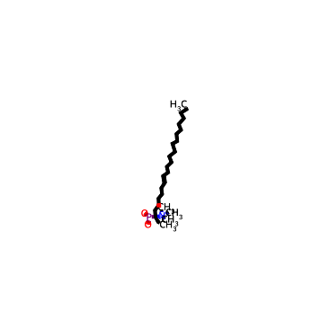 CCCCCCCCCCCCCCC=CCCCCCC(CC)(P(=O)=O)[N+](C)(C)C